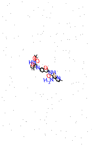 Cc1ccc2c(N)c(C(=O)N[C@H]3COc4cc(N5C[C@@H](NC(=O)OC(C)(C)C)[C@]6(C5)OCC[C@@H]6C)ccc4C3)sc2n1